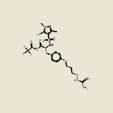 Cc1nn(C)c(Cl)c1S(=O)(=O)N[C@@H](Cc1ccc(OCCCONC(=N)N)cc1)C(=O)OC(=O)C(F)(F)F